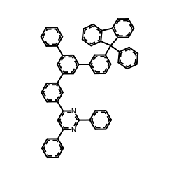 c1ccc(-c2cc(-c3cccc(-c4cc(-c5ccccc5)nc(-c5ccccc5)n4)c3)cc(-c3cccc(C4(c5ccccc5)c5ccccc5-c5ccccc54)c3)c2)cc1